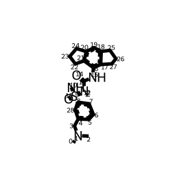 CN(C)Cc1cccc(S(N)(=O)=NC(=O)Nc2c3c(cc4c2CCC4)CCC3)c1